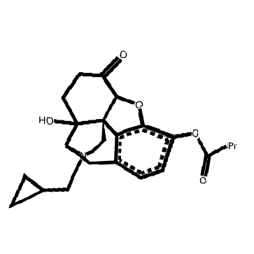 CC(C)C(=O)Oc1ccc2c3c1OC1C(=O)CCC4(O)C(C2)N(CC2CC2)CC[C@]314